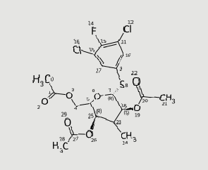 CC(=O)OCC1O[C@H](Sc2cc(Cl)c(F)c(Cl)c2)[C@@H](OC(C)=O)C(C)[C@H]1OC(C)=O